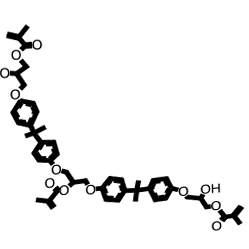 C=C(C)C(=O)OCC(O)COc1ccc(C(C)(C)c2ccc(OCC(COc3ccc(C(C)(C)c4ccc(OCC(O)COC(=O)C(=C)C)cc4)cc3)OC(=O)C(=C)C)cc2)cc1